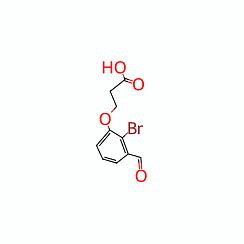 O=Cc1cccc(OCCC(=O)O)c1Br